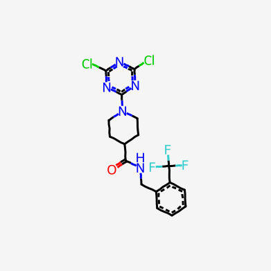 O=C(NCc1ccccc1C(F)(F)F)C1CCN(c2nc(Cl)nc(Cl)n2)CC1